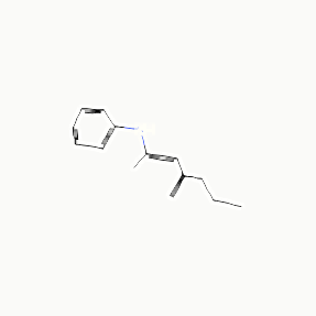 C=C(/C=C(\C)Nc1ccccc1)CCC